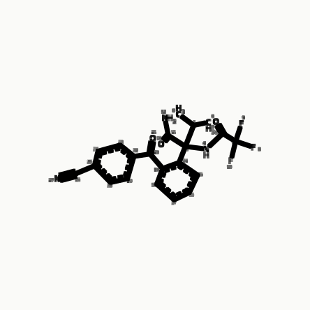 CC(C)C(NC(=O)C(F)(F)F)(C(N)=O)c1ccccc1C(=O)c1ccc(C#N)cc1